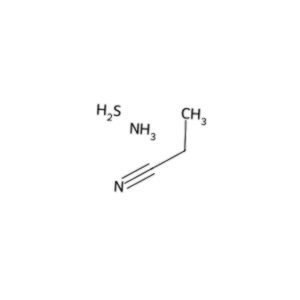 CCC#N.N.S